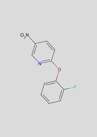 O=[N+]([O-])c1ccc(Oc2ccccc2F)nc1